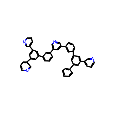 c1ccc(-c2cc(-c3cccnc3)cc(-c3cccc(-c4cncc(-c5cccc(-c6cc(-c7cccnc7)cc(-c7cccnc7)c6)c5)c4)c3)c2)cc1